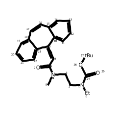 CCN(CCN(C)C(=O)C=C1c2ccccc2C=Cc2ccccc21)C(=O)OC(C)(C)C